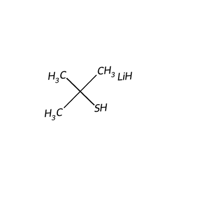 CC(C)(C)S.[LiH]